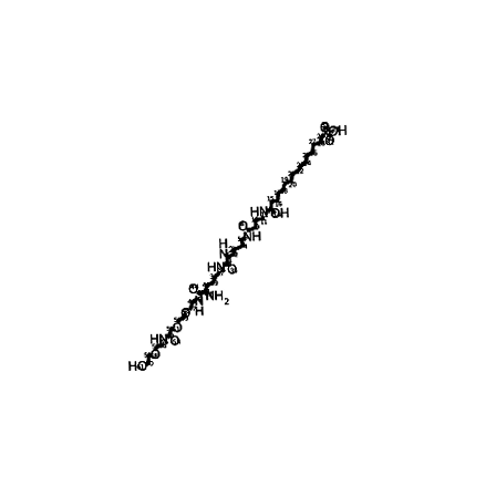 N[C@@H](CCCCNC(=O)CCCNC(O)CCCCCCCCCCCCCCCS(=O)(=O)O)C(=O)NCCCC[C@H](N)C(=O)NCCOCCOCC(=O)NCCOCCO